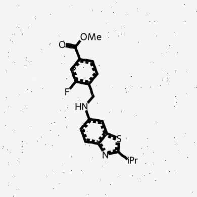 COC(=O)c1ccc(CNc2ccc3nc(C(C)C)sc3c2)c(F)c1